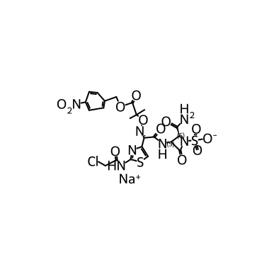 CC(C)(ON=C(C(=O)N[C@@H]1C(=O)N(S(=O)(=O)[O-])[C@@H]1C(N)=O)c1csc(NC(=O)CCl)n1)C(=O)OCc1ccc([N+](=O)[O-])cc1.[Na+]